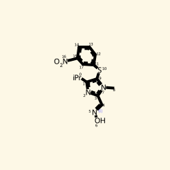 CC(C)c1nc(/C=N/O)n(C)c1Sc1cccc([N+](=O)[O-])c1